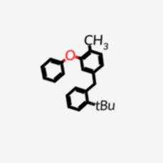 Cc1ccc(Cc2ccccc2C(C)(C)C)cc1Oc1ccccc1